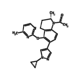 CC(=O)N1c2ccc(-c3cnn(C4CC4)c3)c(Oc3nccc(C)n3)c2CC[C@@H]1C